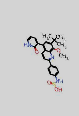 COc1c(C(C)(C)C)cc(-c2ccc[nH]c2=O)c2ccc(-c3ccc(NS(=O)O)cc3)nc12